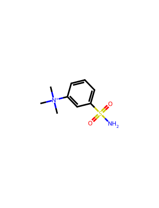 C[N+](C)(C)c1cccc(S(N)(=O)=O)c1